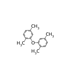 Cc1ccc(C)c(Oc2cc(C)ccc2C)c1